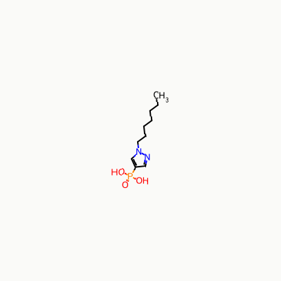 CCCCCCCn1cc(P(=O)(O)O)cn1